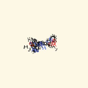 COc1cc(N2CCC(N3CCCCOC3=O)CC2)c(C(C)O)cc1Nc1ncc(C)c(Nc2ccc3nccnc3c2P(C)(C)=O)n1